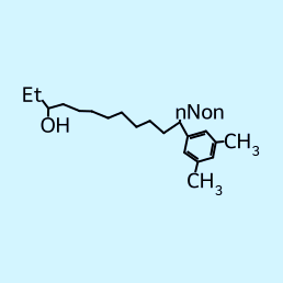 [CH2]CC(O)CCCCCCCCC(CCCCCCCCC)c1cc(C)cc(C)c1